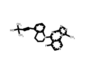 Cc1nnc2nc(N3CCCc4c(C#CC(C)(C)O)cccc43)c3c(F)cncc3n12